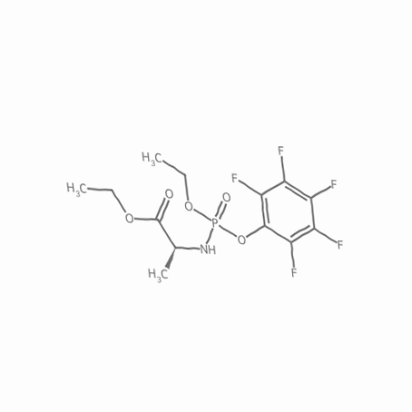 CCOC(=O)[C@H](C)NP(=O)(OCC)Oc1c(F)c(F)c(F)c(F)c1F